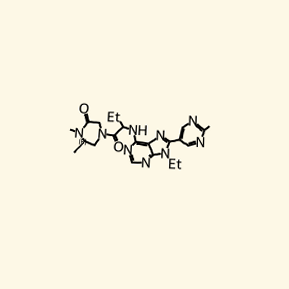 CCC(Nc1ncnc2c1nc(-c1cnc(C)nc1)n2CC)C(=O)N1CC(=O)N(C)[C@H](C)C1